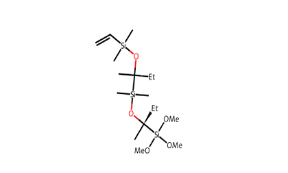 C=C[Si](C)(C)OC(C)(CC)[Si](C)(C)O[C@](C)(CC)[Si](OC)(OC)OC